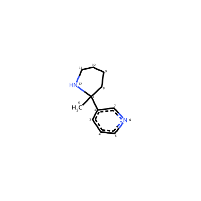 CC1(c2cccnc2)CCCCN1